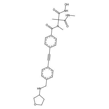 CNC(=O)C(C)(C(=O)NO)N(C)C(=O)c1ccc(C#Cc2ccc(CNC3CCOC3)cc2)cc1